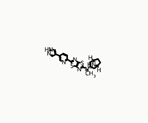 CN(c1nc2sc(-c3ccc(-c4cn[nH]c4)cn3)nc2s1)[C@@H]1C[C@H]2CC[C@@H](C1)N2